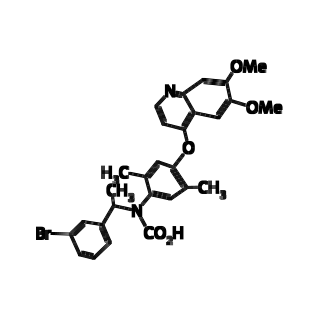 COc1cc2nccc(Oc3cc(C)c(N(C(=O)O)C(C)c4cccc(Br)c4)cc3C)c2cc1OC